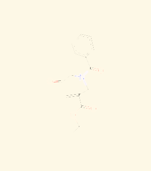 C=C(CN(CC=O)C(=O)c1ccccc1)C(=O)OCC